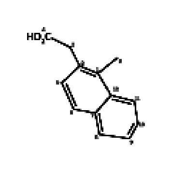 Cc1c(CC(=O)O)ccc2ccccc12